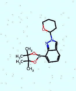 CC1(C)OB(c2cccc3cn(C4CCCCO4)nc23)OC1(C)C